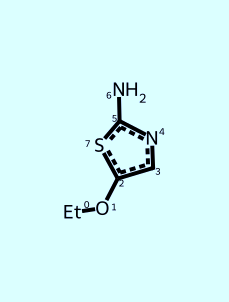 CCOc1cnc(N)s1